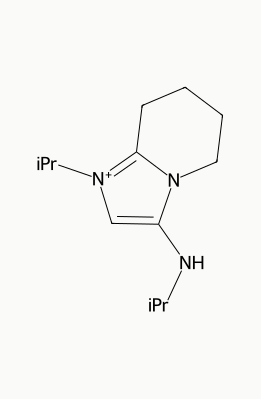 CC(C)Nc1c[n+](C(C)C)c2n1CCCC2